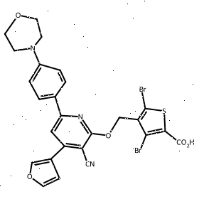 N#Cc1c(-c2ccoc2)cc(-c2ccc(N3CCOCC3)cc2)nc1OCc1c(Br)sc(C(=O)O)c1Br